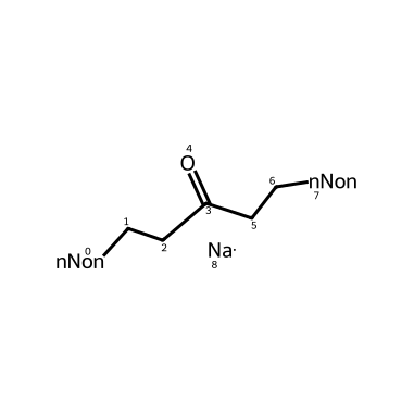 CCCCCCCCCCCC(=O)CCCCCCCCCCC.[Na]